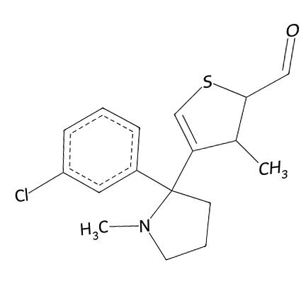 CC1C(C2(c3cccc(Cl)c3)CCCN2C)=CSC1C=O